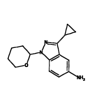 Nc1ccc2c(c1)c(C1CC1)nn2C1CCCCO1